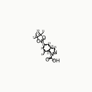 Cc1cc(B2OC(C)(C)C(C)(C)O2)cc2cnn(C(=O)O)c12